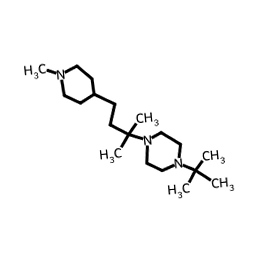 CN1CCC(CCC(C)(C)N2CCN(C(C)(C)C)CC2)CC1